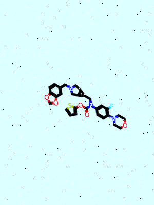 O=C(Oc1cccs1)N(CC1C2CN(Cc3ccc4c(c3)OCO4)CC21)c1ccc(N2CCOCC2)c(F)c1